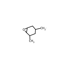 [CH2]C1CC(C)C2OC2C1